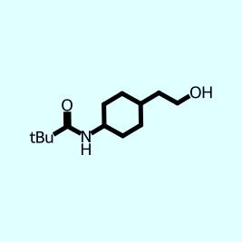 CC(C)(C)C(=O)NC1CCC(CCO)CC1